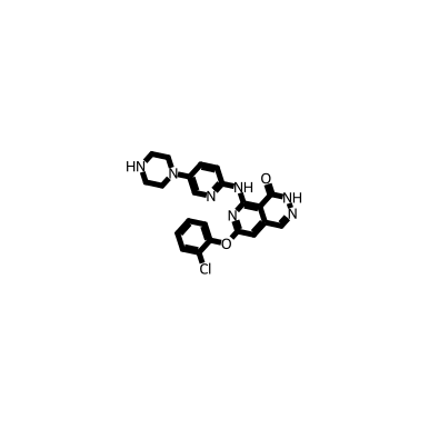 O=c1[nH]ncc2cc(Oc3ccccc3Cl)nc(Nc3ccc(N4CCNCC4)cn3)c12